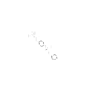 NNCCc1ccc(NC(=O)CCc2c[c]ccc2)cc1